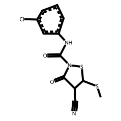 CSC1SN(C(=O)Nc2cccc(Cl)c2)C(=O)C1C#N